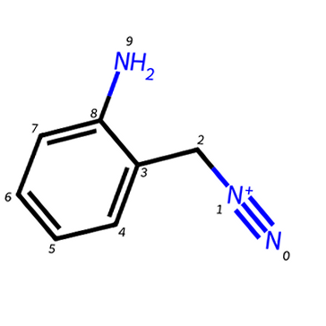 N#[N+]Cc1ccccc1N